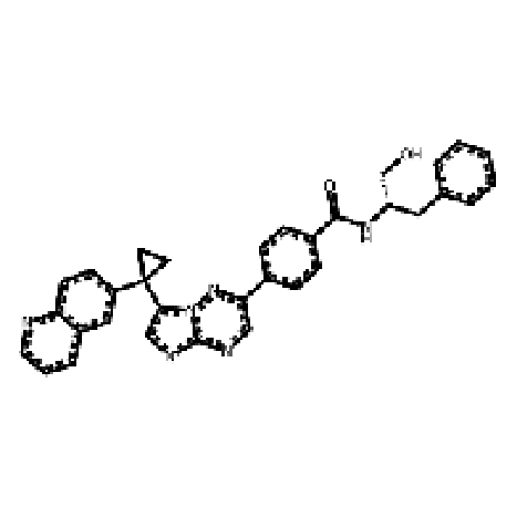 O=C(N[C@H](CO)Cc1ccccc1)c1ccc(-c2cnc3ncc(C4(c5ccc6ncccc6c5)CC4)n3n2)cc1